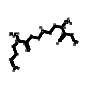 CC(C)CCCN(C)C(=O)CCOCCN(C)C(=O)CC(C)C